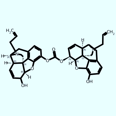 C=CCN1CC[C@]23c4c5ccc(O)c4O[C@H]2[C@@H](OC(=O)Oc2ccc4c6c2O[C@H]2C(O)C=C[C@H]7[C@@H](C4)N(CC=C)CC[C@]627)C=C[C@H]3C1C5